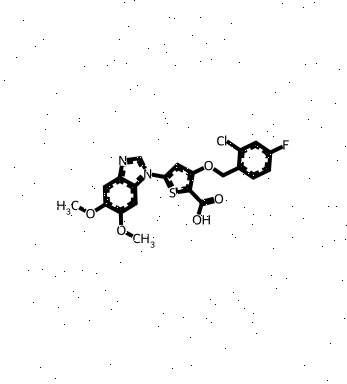 COc1cc2ncn(-c3cc(OCc4ccc(F)cc4Cl)c(C(=O)O)s3)c2cc1OC